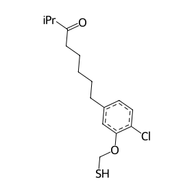 CC(C)C(=O)CCCCCc1ccc(Cl)c(OCS)c1